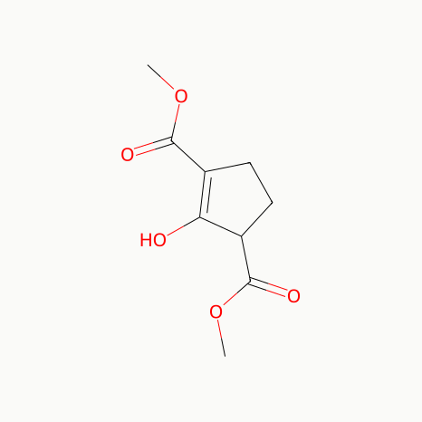 COC(=O)C1=C(O)C(C(=O)OC)CC1